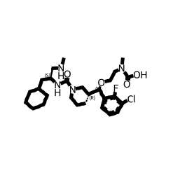 CNC[C@H](CC1CCCCC1)NC(=O)N1CCC[C@@H]([C@@H](OCCN(C)C(=O)O)c2cccc(Cl)c2F)C1